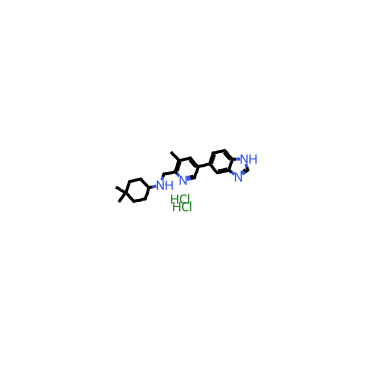 Cc1cc(-c2ccc3[nH]cnc3c2)cnc1CNC1CCC(C)(C)CC1.Cl.Cl